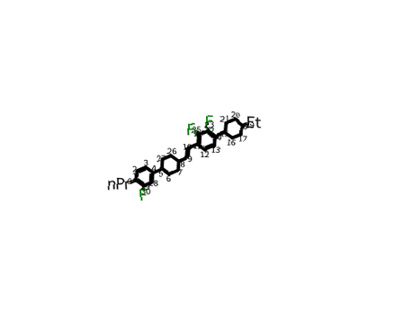 CCCc1ccc(C2CCC(/C=C/c3ccc(C4CCC(CC)CC4)c(F)c3F)CC2)cc1F